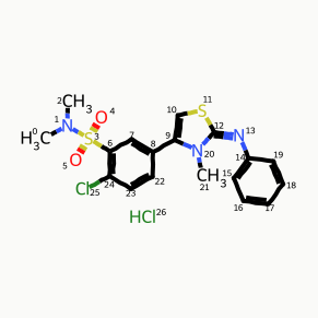 CN(C)S(=O)(=O)c1cc(-c2csc(=Nc3ccccc3)n2C)ccc1Cl.Cl